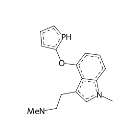 CNCCc1cn(C)c2cccc(Oc3ccc[pH]3)c12